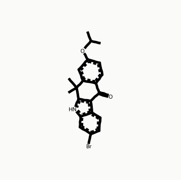 CC(C)Oc1ccc2c(c1)C(C)(C)c1[nH]c3cc(Br)ccc3c1C2=O